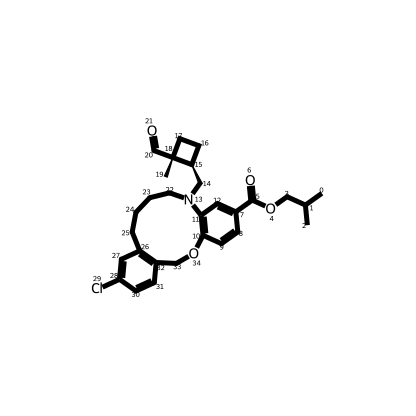 CC(C)COC(=O)c1ccc2c(c1)N(C[C@@H]1CC[C@@]1(C)C=O)CCCCc1cc(Cl)ccc1CO2